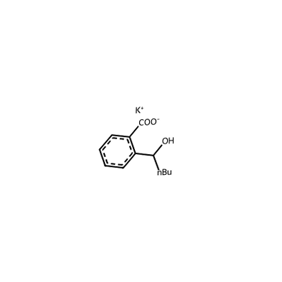 CCCCC(O)c1ccccc1C(=O)[O-].[K+]